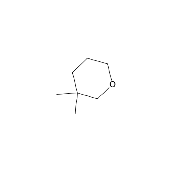 CC1(C)CCCOC1